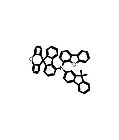 CC1(C)c2ccccc2-c2ccc(N(c3cccc4c3-c3ccccc3C43c4ccccc4Oc4ccccc43)c3cccc4c3oc3ccccc34)cc21